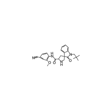 COc1cc(C#N)ccc1NC(=O)C1CC2(CN1)C(=O)N(CC(C)(C)C)c1ccccc12